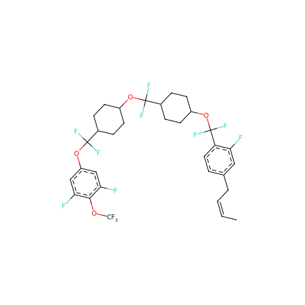 C/C=C\Cc1ccc(C(F)(F)OC2CCC(C(F)(F)OC3CCC(C(F)(F)Oc4cc(F)c(OC(F)(F)F)c(F)c4)CC3)CC2)c(F)c1